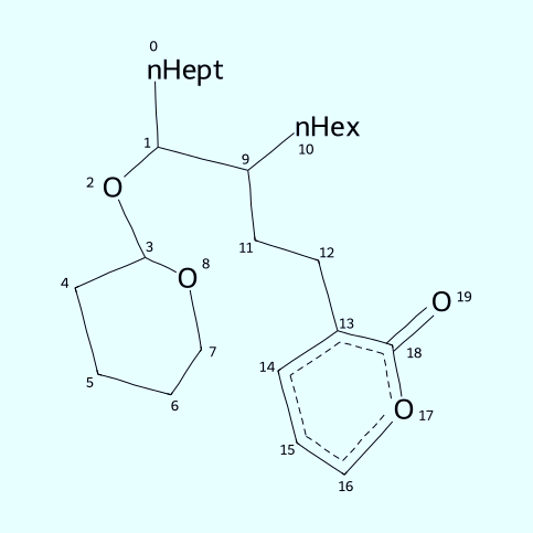 CCCCCCCC(OC1CCCCO1)C(CCCCCC)CCc1cccoc1=O